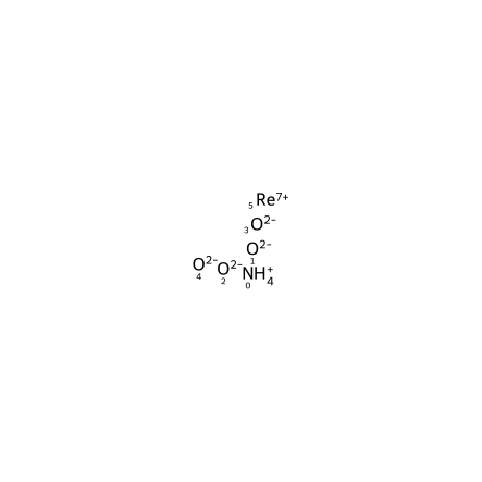 [NH4+].[O-2].[O-2].[O-2].[O-2].[Re+7]